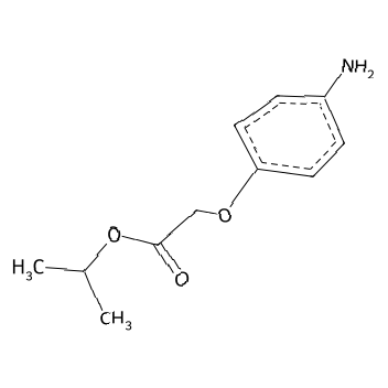 CC(C)OC(=O)COc1ccc(N)cc1